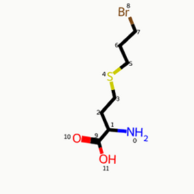 NC(CCSCCCBr)C(=O)O